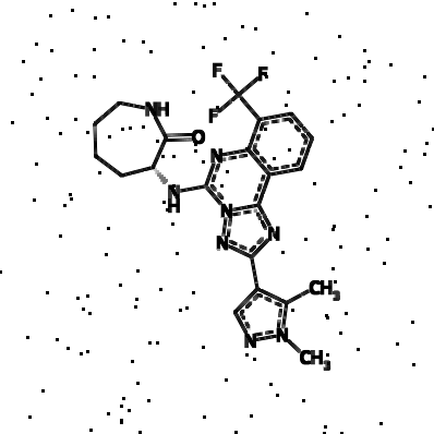 Cc1c(-c2nc3c4cccc(C(F)(F)F)c4nc(N[C@@H]4CCCCNC4=O)n3n2)cnn1C